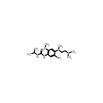 COc1cc(N(C)CCN(C)C)c(N)cc1NC(=N)NC(C)C